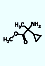 COC(=O)C(C)(N)C1CC1